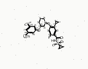 O=C(NS(=O)(=O)C1CC1)c1cc(C2CC2)c(ON2CCC[C@H](Oc3cc(Cl)cc(Cl)c3)C2)cc1F